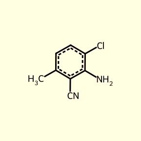 Cc1ccc(Cl)c(N)c1C#N